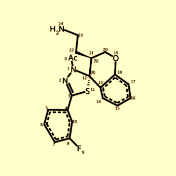 CC(=O)N1N=C(c2cccc(F)c2)S[C@]12c1ccccc1OC[C@@H]2CCN